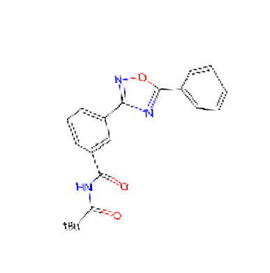 CC(C)(C)C(=O)NC(=O)c1cccc(-c2noc(-c3ccccc3)n2)c1